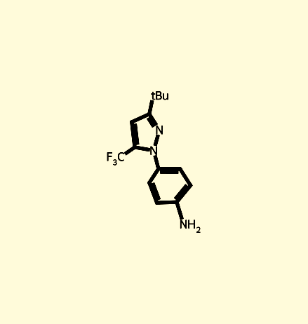 CC(C)(C)c1cc(C(F)(F)F)n(-c2ccc(N)cc2)n1